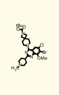 COc1c(Br)c(Cl)cc2c(N3CCC4(CC3)CN(C(=O)OC(C)(C)C)C4)nc(C3CCN(C)CC3)nc12